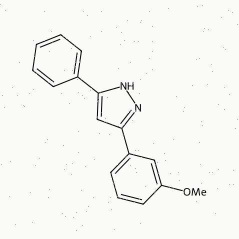 COc1cccc(-c2cc(-c3ccccc3)[nH]n2)c1